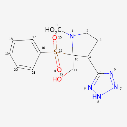 O=C(O)N1CCC(c2nn[nH]n2)C1(CO)S(=O)(=O)c1ccccc1